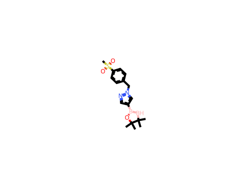 CC1(C)BB(c2cnn(Cc3ccc(S(C)(=O)=O)cc3)c2)OC1(C)C